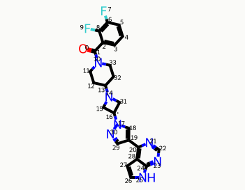 O=C(c1cccc(F)c1F)N1CCC(N2C[C](n3cc(-c4ncnc5[nH]ccc45)cn3)C2)CC1